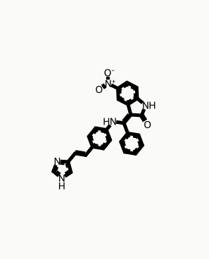 O=C1Nc2ccc([N+](=O)[O-])cc2C1=C(Nc1ccc(C=Cc2c[nH]cn2)cc1)c1ccccc1